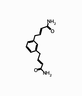 NC(=O)C=CCc1cccc(CC=CC(N)=O)c1